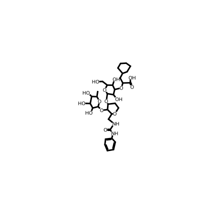 CC1OC(OC2C(CNC(=O)Nc3ccccc3)OCCC2OC2OC(CO)C(O)C(OC(CC3CCCCC3)C(=O)O)C2O)C(O)C(O)C1O